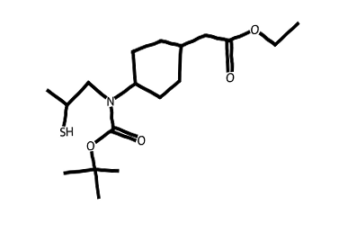 CCOC(=O)CC1CCC(N(CC(C)S)C(=O)OC(C)(C)C)CC1